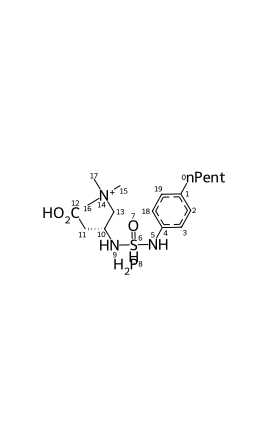 CCCCCc1ccc(N[SH](=O)(P)N[C@H](CC(=O)O)C[N+](C)(C)C)cc1